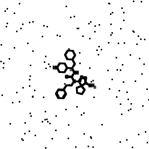 NC(=O)C1(C(=O)N(CCc2ccccc2)C(=O)N[C@H](CC2CCCCC2)C2CCNCC2)CCCC1